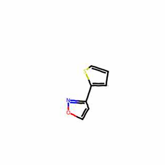 [c]1ccsc1-c1ccon1